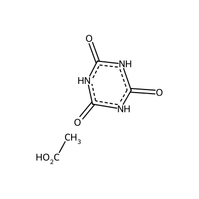 CC(=O)O.O=c1[nH]c(=O)[nH]c(=O)[nH]1